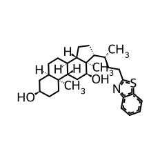 C[C@H](CCc1nc2ccccc2s1)[C@H]1CC[C@H]2[C@@H]3CC[C@@H]4C[C@H](O)CC[C@]4(C)[C@H]3C[C@H](O)[C@]12C